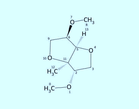 CO[C@H]1CO[C@@H]2[C@H](OC)CO[C@]12C